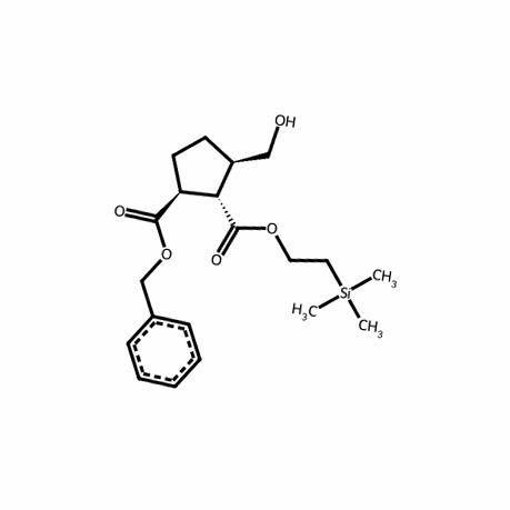 C[Si](C)(C)CCOC(=O)[C@H]1[C@H](CO)CC[C@@H]1C(=O)OCc1ccccc1